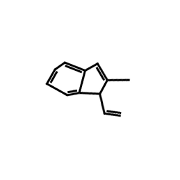 C=CC1C(C)=Cc2ccccc21